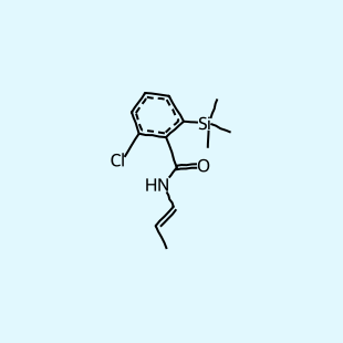 CC=CNC(=O)c1c(Cl)cccc1[Si](C)(C)C